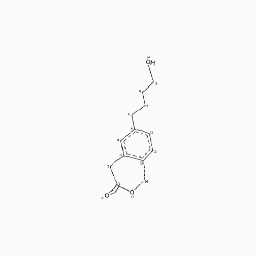 O=C1Cc2cc(CCCCO)ccc2CO1